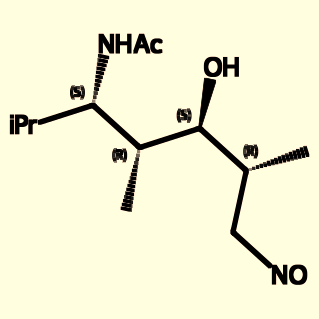 CC(=O)N[C@@H](C(C)C)[C@@H](C)[C@@H](O)[C@H](C)CN=O